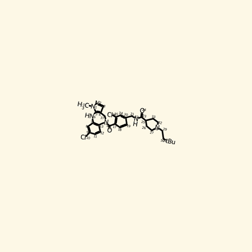 Cn1ncc2c1Nc1cc(Cl)ccc1N(C(=O)c1ccc(CNC(=O)C3CCN(CCC(C)(C)C)CC3)cc1Cl)C2